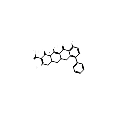 NC(=O)C1=C(O)CC2CC3Cc4c(-c5ccccc5)ccc(O)c4C(=O)C3=C(O)[C@]2(O)C1=O